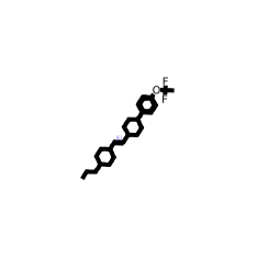 CCCC1CCC(/C=C/C2CCC(c3ccc(OC(C)(F)F)cc3)CC2)CC1